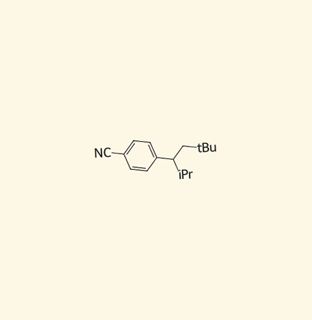 CC(C)C(CC(C)(C)C)c1ccc(C#N)cc1